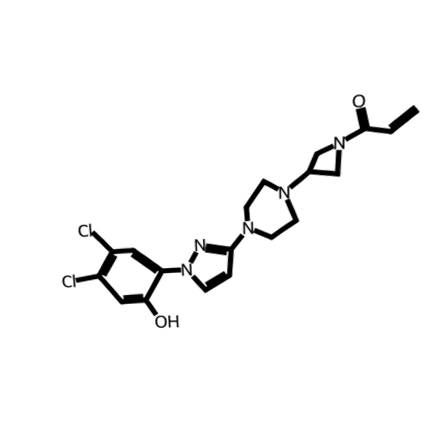 C=CC(=O)N1CC(N2CCN(c3ccn(-c4cc(Cl)c(Cl)cc4O)n3)CC2)C1